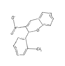 Cc1ccccc1C1Oc2ccccc2C=C1[N+](=O)[O-]